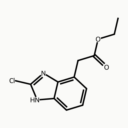 CCOC(=O)Cc1cccc2[nH]c(Cl)nc12